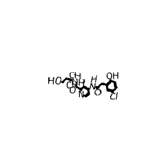 CC(C)(CCO)NC(=O)c1cc(NC(=O)Cc2cc(Cl)ccc2O)ccn1